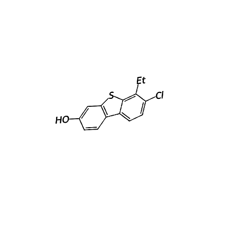 CCc1c(Cl)ccc2c1sc1cc(O)ccc12